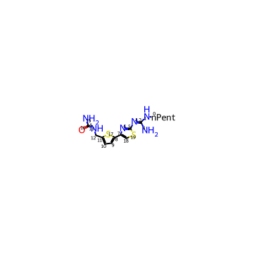 CCCCCN/C(N)=N/c1nc(-c2ccc(CNC(N)=O)s2)cs1